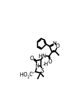 Cc1onc(-c2ccccc2)c1C(=O)NC1C(=O)N2[C@@H]1SC(C)(C)[C@@H]2C(=O)O